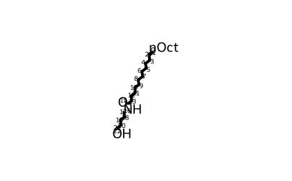 CCCCCCCCC=CCCCCCCCCCCCC(=O)NCCCCCO